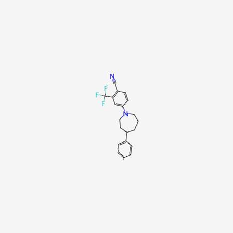 N#Cc1ccc(N2CCCC(c3cc[c]cc3)CC2)cc1C(F)(F)F